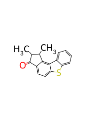 CC1C(=O)c2ccc3sc4ccccc4c3c2C1C